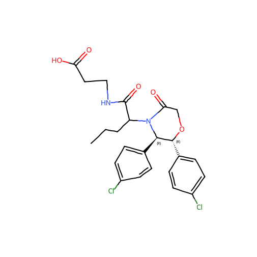 CCCC(C(=O)NCCC(=O)O)N1C(=O)CO[C@H](c2ccc(Cl)cc2)[C@H]1c1ccc(Cl)cc1